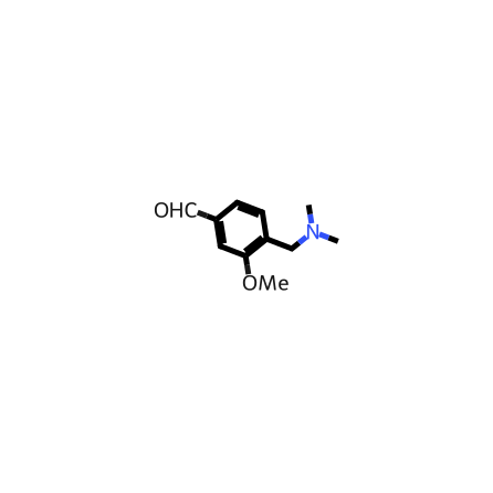 COc1cc(C=O)ccc1CN(C)C